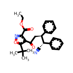 CCOC(=O)c1noc(C(C)(C)C)c1C(=O)C[C@@H](c1ccccc1)[C@@H](C#N)c1ccccc1